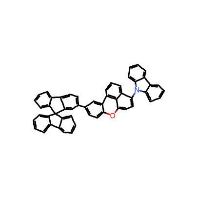 c1ccc2c(c1)-c1ccccc1C21c2ccccc2-c2ccc(-c3ccc4c(c3)-c3cccc5c(-n6c7ccccc7c7ccccc76)ccc(c35)O4)cc21